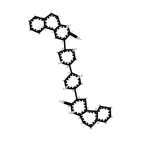 O=c1oc2ccc3ccccc3c2cc1-c1cnc(-c2cnc(-c3cc4c(ccc5ccccc54)oc3=O)cn2)cn1